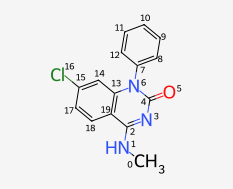 CNc1nc(=O)n(-c2ccccc2)c2cc(Cl)ccc12